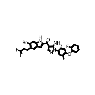 Cc1cc(-n2ncc(C(=O)c3cc4cc(CCC(F)F)c(Br)cc4[nH]3)c2N)ccc1Oc1ccccc1F